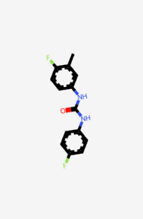 Cc1cc(NC(=O)Nc2ccc(F)cc2)ccc1F